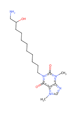 Cn1cnc2c1c(=O)n(CCCCCCCCCC(O)CN)c(=O)n2C